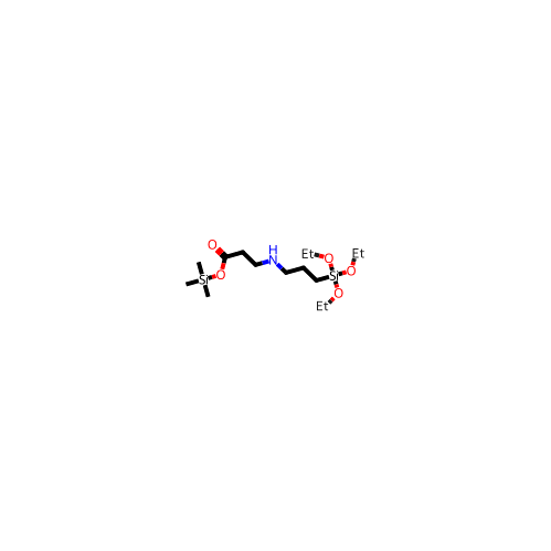 CCO[Si](CCCNCCC(=O)O[Si](C)(C)C)(OCC)OCC